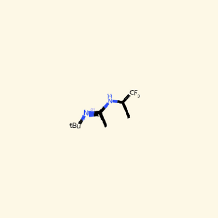 C/C(=N\C(C)(C)C)NC(C)C(F)(F)F